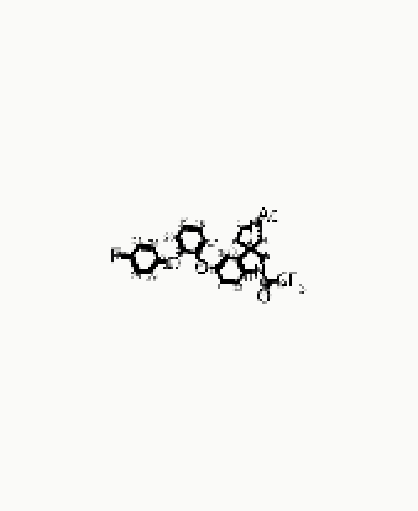 CC(=O)N1CCC2(C1)CN(C(=O)C(F)(F)F)c1ccc(Oc3ccccc3Oc3ccc(F)cc3)cc12